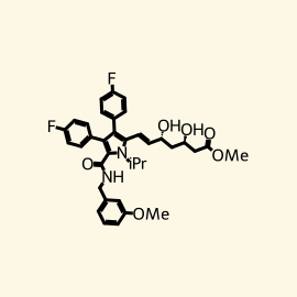 COC(=O)C[C@H](O)C[C@@H](O)/C=C/c1c(-c2ccc(F)cc2)c(-c2ccc(F)cc2)c(C(=O)NCc2cccc(OC)c2)n1C(C)C